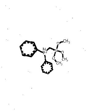 CO[Si](C[PH2](c1ccccc1)c1ccccc1)(OC)OC